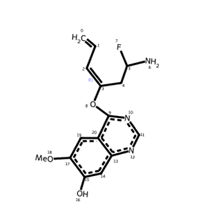 C=C/C=C(\CC(N)F)Oc1ncnc2cc(O)c(OC)cc12